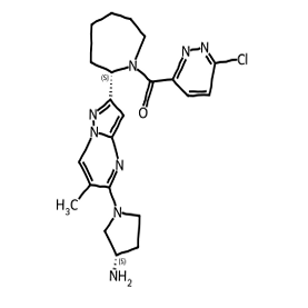 Cc1cn2nc([C@@H]3CCCCCN3C(=O)c3ccc(Cl)nn3)cc2nc1N1CC[C@H](N)C1